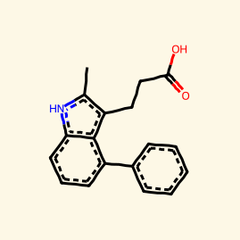 Cc1[nH]c2cccc(-c3ccccc3)c2c1CCC(=O)O